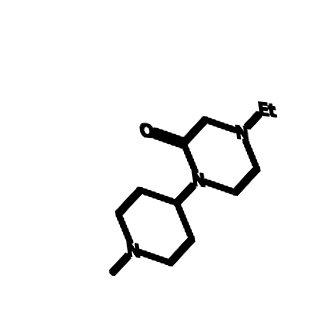 CCN1CCN(C2CCN(C)CC2)C(=O)C1